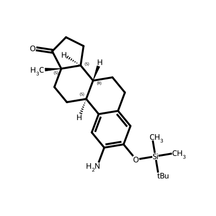 CC(C)(C)[Si](C)(C)Oc1cc2c(cc1N)[C@H]1CC[C@]3(C)C(=O)CC[C@H]3[C@@H]1CC2